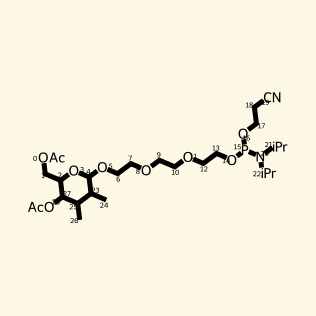 CC(=O)OCC1OC(OCCOCCOCCOP(OCCC#N)N(C(C)C)C(C)C)C(C)C(C)C1OC(C)=O